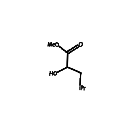 COC(=O)C(O)CC(C)C